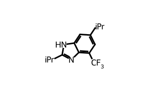 CC(C)c1cc(C(F)(F)F)c2nc(C(C)C)[nH]c2c1